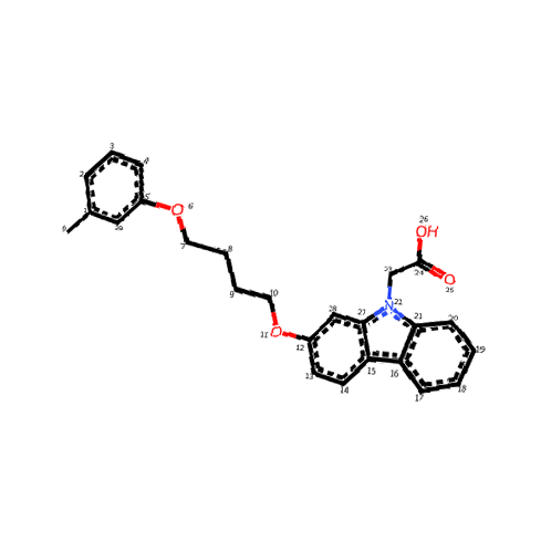 Cc1cccc(OCCCCOc2ccc3c4ccccc4n(CC(=O)O)c3c2)c1